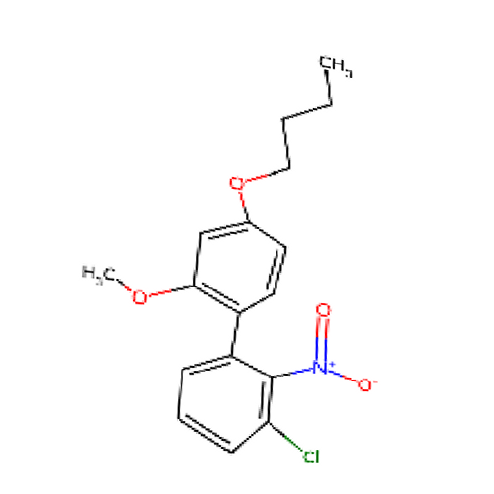 CCCCOc1ccc(-c2cccc(Cl)c2[N+](=O)[O-])c(OC)c1